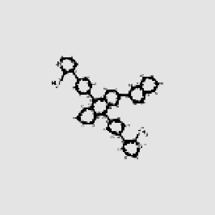 Cc1ncccc1-c1ccc(-c2c3ccccc3c(-c3ccc(-c4cccnc4C)cc3)c3cc(-c4ccc5ccccc5c4)ccc23)cc1